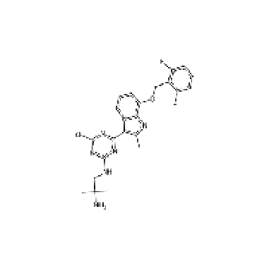 Cc1nc2c(OCc3c(F)cccc3F)cccn2c1-c1nc(Cl)nc(NCC(C)(C)N)n1